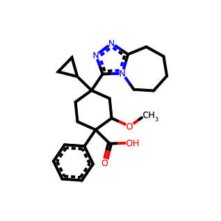 COC1CC(c2nnc3n2CCCCC3)(C2CC2)CCC1(C(=O)O)c1ccccc1